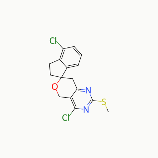 CSc1nc(Cl)c2c(n1)CC1(CCc3c(Cl)cccc31)OC2